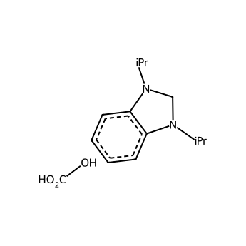 CC(C)N1CN(C(C)C)c2ccccc21.O=C(O)O